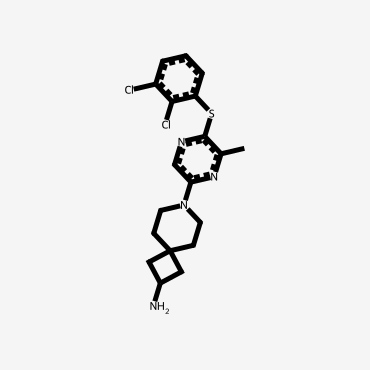 Cc1nc(N2CCC3(CC2)CC(N)C3)cnc1Sc1cccc(Cl)c1Cl